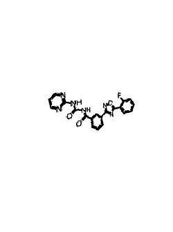 O=C(NC(=O)c1cccc(-c2noc(-c3ccccc3F)n2)c1)Nc1ncccn1